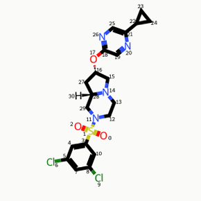 O=S(=O)(c1cc(Cl)cc(Cl)c1)N1CCN2C[C@@H](Oc3cnc(C4CC4)cn3)C[C@H]2C1